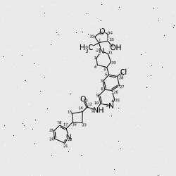 CC1(N2CCC(c3cc4cc(NC(=O)C5CC(c6ccccn6)C5)ncc4cc3Cl)CC2)COCC1O